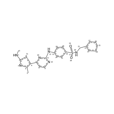 CNc1nc(C)c(-c2ccnc(Nc3ccc(S(=O)(=O)NCc4ccccc4)cc3)n2)s1